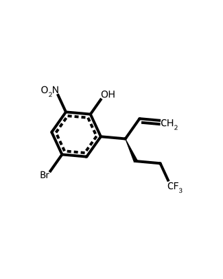 C=C[C@@H](CCC(F)(F)F)c1cc(Br)cc([N+](=O)[O-])c1O